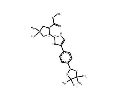 CC(C)(C)OC(=O)N1C[Si](C)(C)C[C@H]1[C@@H]1NC=C(c2ccc(B3OC(C)(C)C(C)(C)O3)cc2)N1